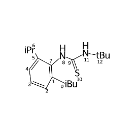 CCC(C)c1cccc(C(C)C)c1NC(=S)NC(C)(C)C